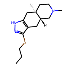 CCCSc1n[nH]c2c1C[C@H]1CN(C)CC[C@@H]1C2